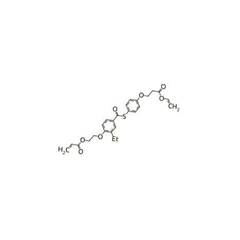 C=COC(=O)CCOc1ccc(SC(=O)c2ccc(OCCOC(=O)C=C)c(CC)c2)cc1